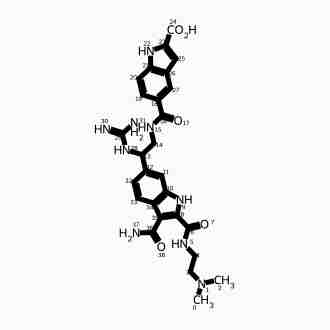 CN(C)CCNC(=O)c1[nH]c2cc(C(CNC(=O)c3ccc4[nH]c(C(=O)O)cc4c3)NC(=N)N)ccc2c1C(N)=O